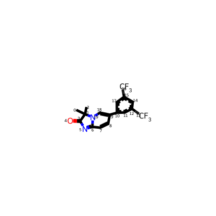 CC1(C)C(=O)N=C2C=CC(c3cc(C(F)(F)F)cc(C(F)(F)F)c3)=CN21